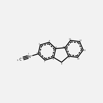 [C-]#[N+]c1ccc2c(c1)Cc1ccccc1-2